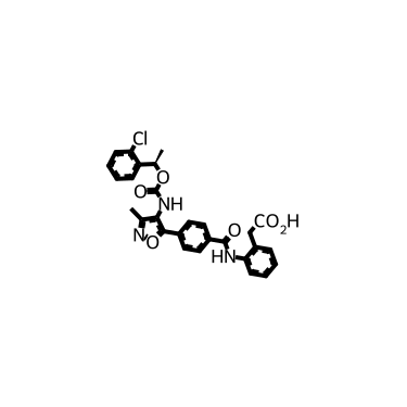 Cc1noc(-c2ccc(C(=O)Nc3ccccc3CC(=O)O)cc2)c1NC(=O)O[C@H](C)c1ccccc1Cl